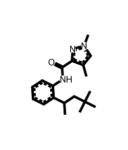 Cc1cn(C)nc1C(=O)Nc1ccccc1C(C)CC(C)(C)C